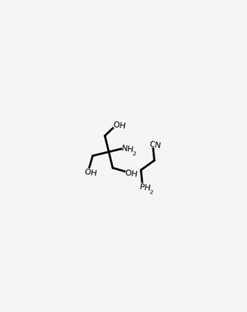 N#CCCP.NC(CO)(CO)CO